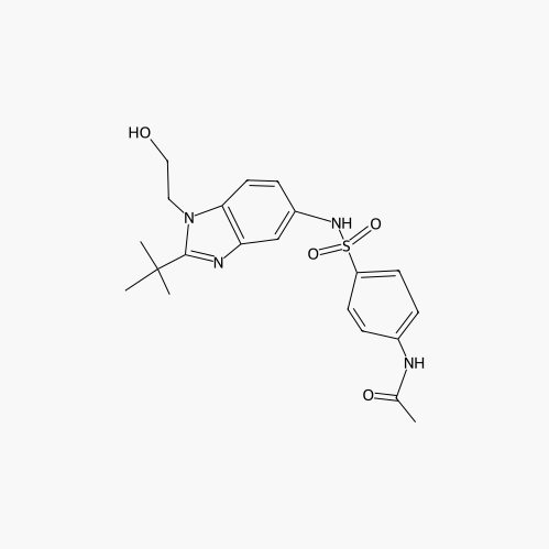 CC(=O)Nc1ccc(S(=O)(=O)Nc2ccc3c(c2)nc(C(C)(C)C)n3CCO)cc1